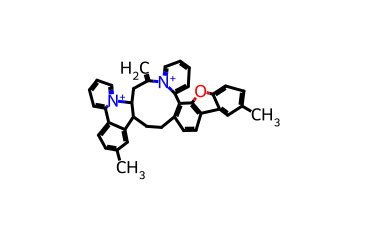 C=C1CC2C(CCc3ccc4c(oc5ccc(C)cc54)c3-c3cccc[n+]31)c1cc(C)ccc1-c1cccc[n+]12